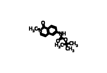 Cn1ccc2cc(NC(=O)OC(C)(C)C)ccc2c1=O